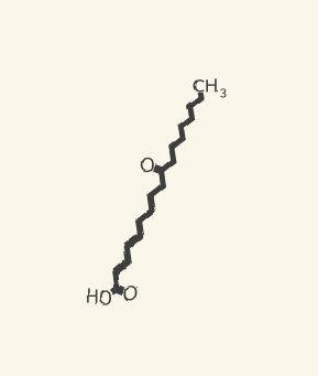 CCCCCCCCC(=O)CCCCC=CC=CC(=O)O